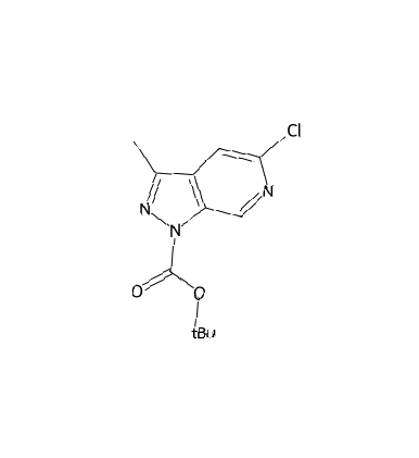 Cc1nn(C(=O)OC(C)(C)C)c2cnc(Cl)cc12